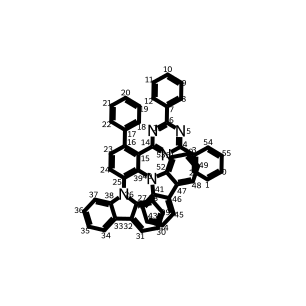 c1ccc(-c2nc(-c3ccccc3)nc(-c3c(-c4ccccc4)ccc(-n4c5ccccc5c5ccccc54)c3-n3c4ccccc4c4ccccc43)n2)cc1